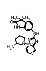 CC1(C)C(=O)Nc2cc(NC3=N[N+]4(N5CCC[C@H](N)C5)C=CN=CC4=N3)ccc21